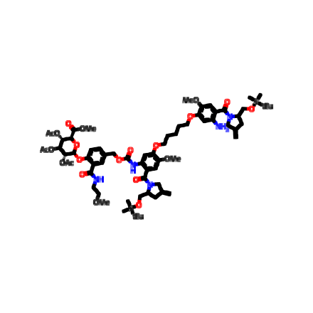 C=C1CC(CO[Si](C)(C)C(C)(C)C)N(C(=O)c2cc(OC)c(OCCCCCOc3cc(NC(=O)OCc4ccc(O[C@@H]5O[C@H](C(=O)OC)[C@@H](OC(C)=O)C(OC(C)=O)[C@H]5OC(C)=O)c(C(=O)NCCOC)c4)c(C(=O)N4CC(=C)CC4CO[Si](C)(C)C(C)(C)C)cc3OC)cc2N)C1